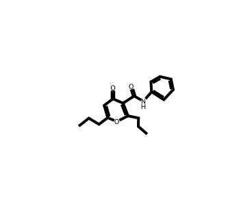 CCCc1cc(=O)c(C(=O)Nc2ccccc2)c(CCC)o1